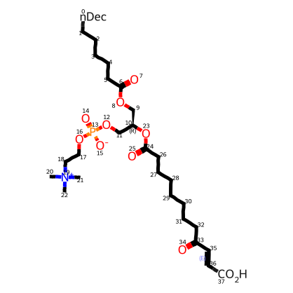 CCCCCCCCCCCCCCCC(=O)OC[C@H](COP(=O)([O-])OCC[N+](C)(C)C)OC(=O)CCCCCCCC(=O)/C=C/C(=O)O